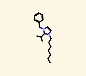 CCCCCCCN1C=CN(Cc2ccccc2)C1C(C)C